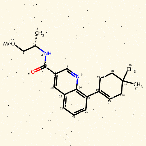 COC[C@H](C)NC(=O)c1cnc2c(C3=CCC(C)(C)CC3)cccc2c1